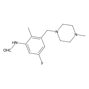 Cc1c(CN2CCN(C)CC2)cc(F)cc1NC=O